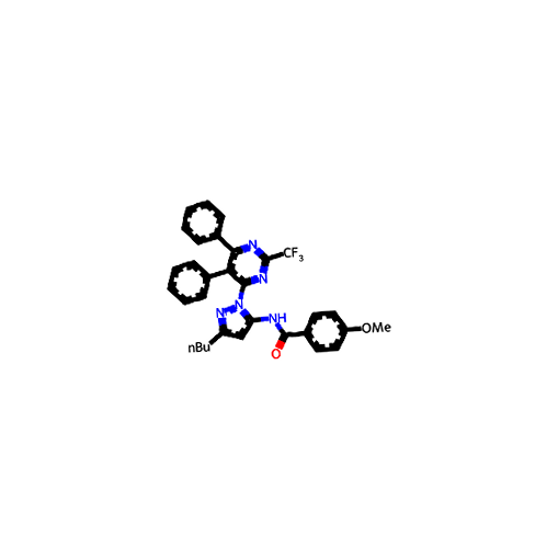 CCCCc1cc(NC(=O)c2ccc(OC)cc2)n(-c2nc(C(F)(F)F)nc(-c3ccccc3)c2-c2ccccc2)n1